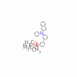 CC1(C)OB(c2cccc(-c3cccc(N(c4ccccc4)c4ccc5ccccc5c4)c3)c2)OC1(C)C